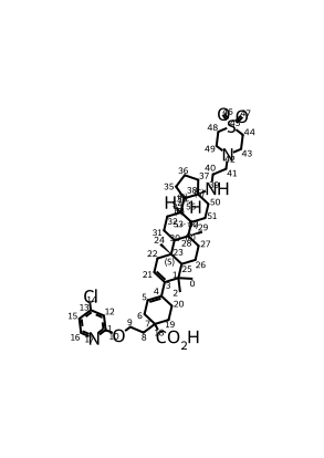 CC1(C)C(C2=CCC(CCOc3cc(Cl)ccn3)(C(=O)O)CC2)=CC[C@@]2(C)C1CC[C@]1(C)C2CC[C@@H]2[C@H]3CCC[C@]3(NCCN3CCS(=O)(=O)CC3)CC[C@]21C